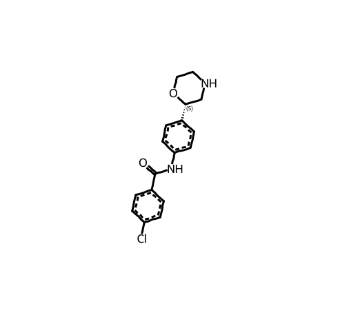 O=C(Nc1ccc([C@H]2CNCCO2)cc1)c1ccc(Cl)cc1